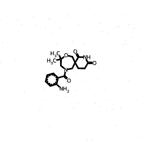 CC1(C)CN(C(=O)c2ccccc2N)CC2(CCC(=O)NC2=O)CO1